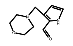 O=Cc1[nH]ccc1CN1CCOCC1